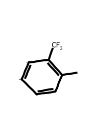 Cc1cc[c][c]c1C(F)(F)F